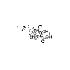 C1COCCO1.CCCCOC(=O)OC.COC(=O)O